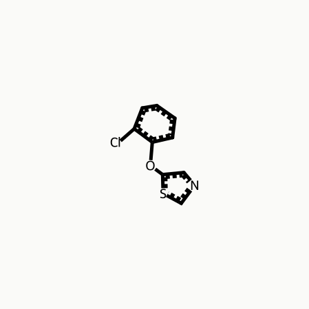 Clc1ccccc1Oc1cncs1